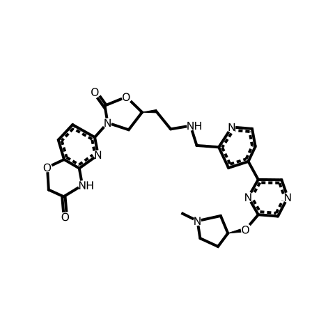 CN1CC[C@H](Oc2cncc(-c3ccnc(CNCC[C@H]4CN(c5ccc6c(n5)NC(=O)CO6)C(=O)O4)c3)n2)C1